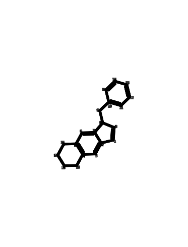 C1=Cc2cc3c(cc2[C]1Cc1ccccc1)CCCC3